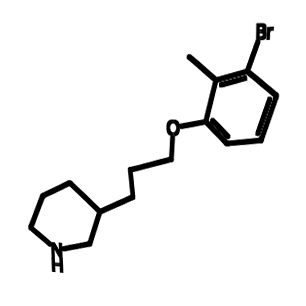 Cc1c(Br)cccc1OCCCC1CCCNC1